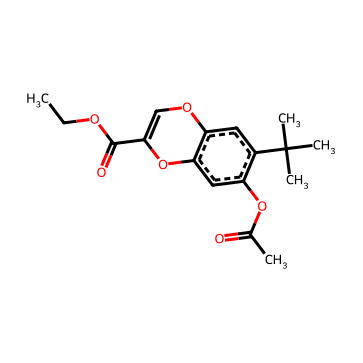 CCOC(=O)C1=COc2cc(C(C)(C)C)c(OC(C)=O)cc2O1